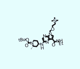 CCNC(=O)c1cn(COCC[Si](C)(C)C)c2ncc(N[C@@H]3CCN(C(=O)OC(C)(C)C)[C@@H](C)C3)nc12